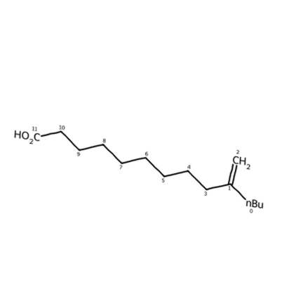 [CH2]CCCC(=C)CCCCCCCCC(=O)O